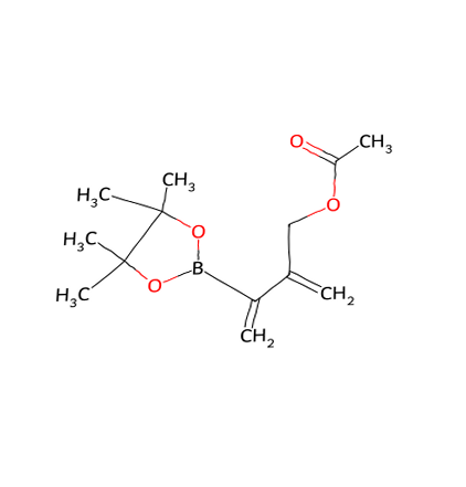 C=C(COC(C)=O)C(=C)B1OC(C)(C)C(C)(C)O1